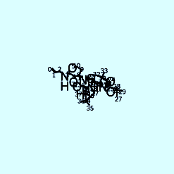 C=CCNC(=O)C(=O)C(CC)NC(=O)[C@@H]1[C@@H]2C(CN1C(=O)[C@@H](NC(=O)OC(C)(C)C)C(C)(C)C)C2(C)C